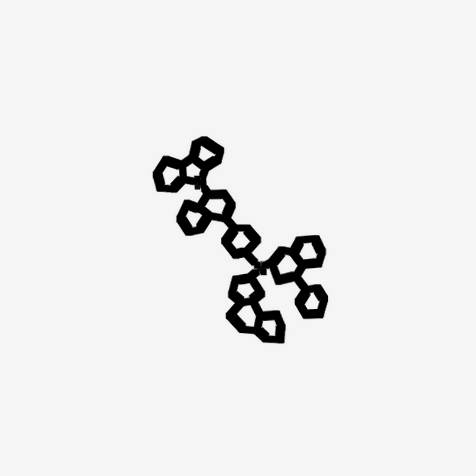 c1ccc(-c2cc(N(c3ccc(-c4ccc(-n5c6ccccc6c6ccccc65)c5ccccc45)cc3)c3ccc4ccc5ccccc5c4c3)cc3ccccc23)cc1